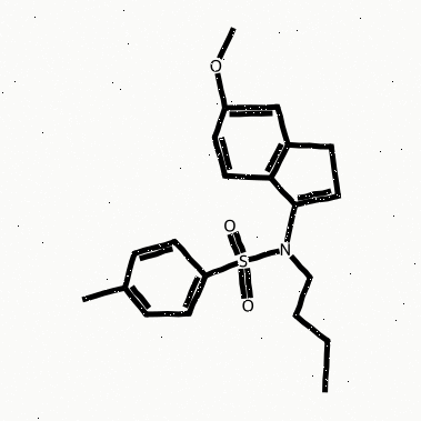 CCCCN(C1=CCc2cc(OC)ccc21)S(=O)(=O)c1ccc(C)cc1